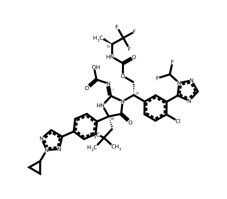 C[C@H](NC(=O)OC[C@H](c1ccc(Cl)c(-c2ncnn2C(F)F)c1)N1C(=O)[C@@](CC(C)(C)C)(c2ccc(-c3cnn(C4CC4)n3)cc2)N/C1=N\C(=O)O)C(F)(F)F